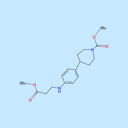 CC(C)(C)OC(=O)CCNc1ccc(C2CCN(C(=O)OC(C)(C)C)CC2)cc1